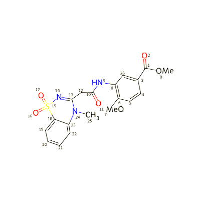 COC(=O)c1ccc(OC)c(NC(=O)CC2=NS(=O)(=O)c3ccccc3N2C)c1